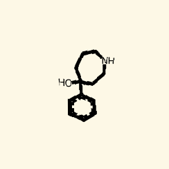 OC1(c2ccccc2)CCCNCC1